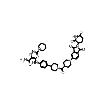 NC(=O)c1nnc(N2CCCCC2)nc1Nc1ccc(C2CCN(C(=O)C3CCN(c4ccc5c(c4)C(=O)N(C4CCC(=O)NC4=O)C5=O)CC3)CC2)cc1